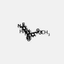 CCOC(=O)C=Cc1cccc(-c2cnc(Nc3ccc(F)c(C#N)c3)nc2N2CCOCC2)c1